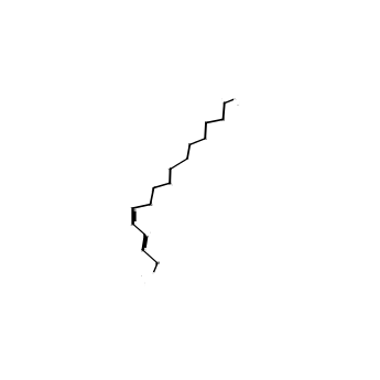 CCC=C/C=C\CCCCCCCCCCO